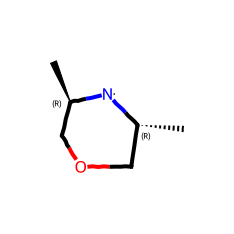 C[C@@H]1COC[C@@H](C)[N]1